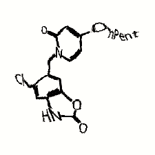 CCCCCOc1ccn(Cc2cc3oc(=O)[nH]c3cc2Cl)c(=O)c1